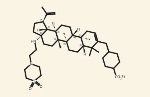 C=C(C)[C@@H]1CC[C@]2(NCCN3CCS(=O)(=O)CC3)CC[C@]3(C)[C@H](CC[C@@H]4[C@@]5(C)CC=C(CC6CCC(C(=O)OCC)CC6)C(C)(C)[C@@H]5CC[C@]43C)[C@@H]12